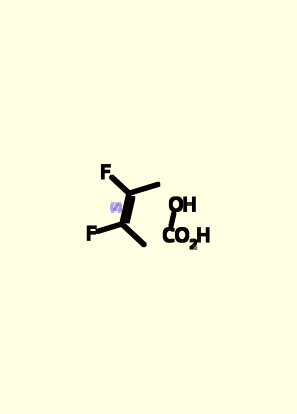 C/C(F)=C(\C)F.O=C(O)O